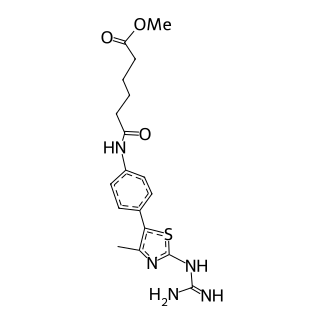 COC(=O)CCCCC(=O)Nc1ccc(-c2sc(NC(=N)N)nc2C)cc1